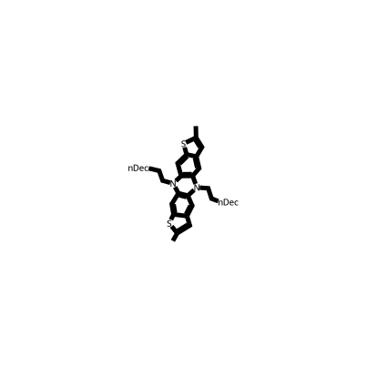 CCCCCCCCCCCCN1c2cc3cc(C)sc3cc2N(CCCCCCCCCCCC)c2cc3sc(C)cc3cc21